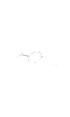 COCCOc1cnc(/C(Cl)=N/O)cn1